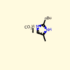 CC(=O)O.CCCCc1ncc(C)[nH]1